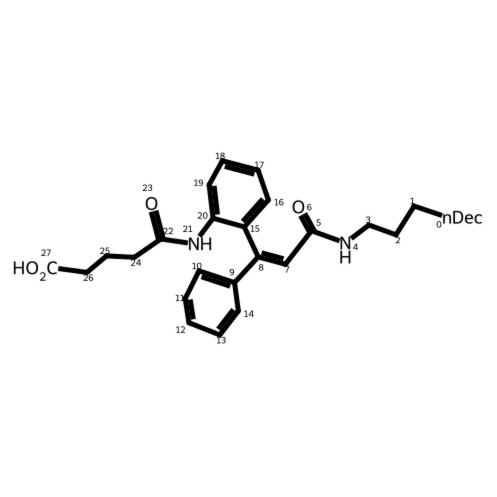 CCCCCCCCCCCCCNC(=O)C=C(c1ccccc1)c1ccccc1NC(=O)CCCC(=O)O